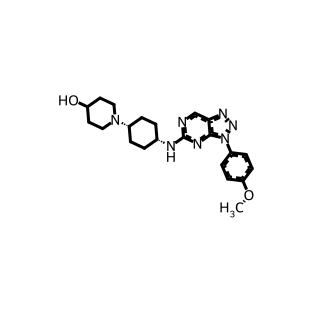 COc1ccc(-n2nnc3cnc(N[C@H]4CC[C@@H](N5CCC(O)CC5)CC4)nc32)cc1